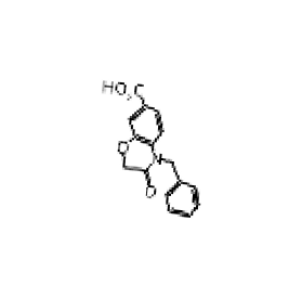 O=C(O)c1ccc2c(c1)OCC(=O)N2Cc1ccccc1